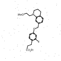 CCOC(=O)CCc1ccc(OCc2ccc3c(c2)N(CCOC)CCC3)cc1F